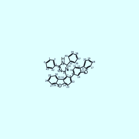 c1ccc(C2=NC(c3c(-c4ccc5c(c4)oc4ccccc45)ccc4oc5ccccc5c34)=NC(c3ccccc3)N2)cc1